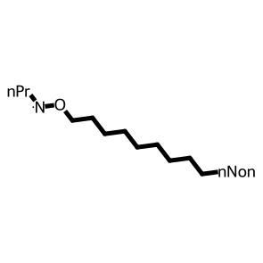 CCCCCCCCCCCCCCCCCCO[N]CCC